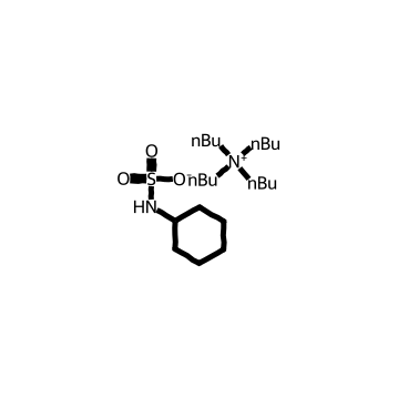 CCCC[N+](CCCC)(CCCC)CCCC.O=S(=O)([O-])NC1CCCCC1